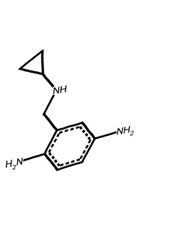 Nc1ccc(N)c(CNC2CC2)c1